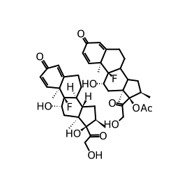 CC(=O)O[C@]1(C(=O)CO)[C@H](C)CC2C3CCC4=CC(=O)C=C[C@]4(C)[C@@]3(F)[C@@H](O)C[C@@]21C.C[C@@H]1C[C@H]2[C@@H]3CCC4=CC(=O)C=C[C@]4(C)[C@@]3(F)[C@@H](O)C[C@]2(C)[C@@]1(O)C(=O)CO